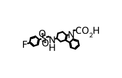 O=C(O)Cn1c2c(c3ccccc31)CC(NCS(=O)(=O)c1ccc(F)cc1)CC2